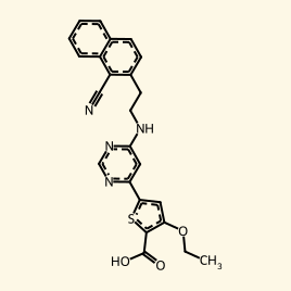 CCOc1cc(-c2cc(NCCc3ccc4ccccc4c3C#N)ncn2)sc1C(=O)O